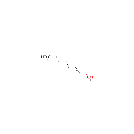 O=C(O)CCCC/C=C/CO